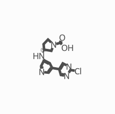 O=C(O)N1CC[C@H](Nc2cncc(-c3cnc(Cl)nc3)c2)C1